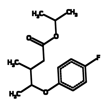 CC(C)OC(=O)CC(C)C(C)Oc1ccc(F)cc1